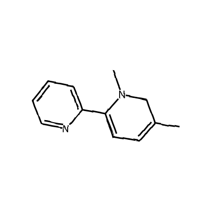 CC1=CC=C(c2ccccn2)N(C)C1